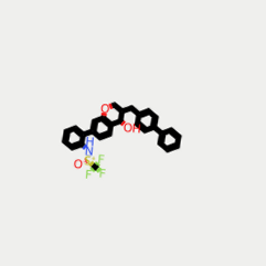 [O-][S+](Nc1ccccc1-c1ccc2c(c1)OCC(Cc1ccc(-c3ccccc3)cc1)C2O)C(F)(F)F